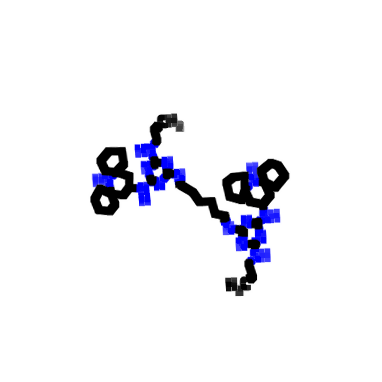 C=CCNc1nc(N=CCCCCC=Nc2nc(NCC=C)nc(NC3CC4(CCCCC4)NC4(CCCCC4)C3)n2)nc(NC2CC3(CCCCC3)NC3(CCCCC3)C2)n1